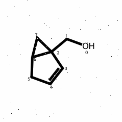 OCC12C=CCC1C2